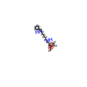 CCO[Si](CCCNCCCCCCNCc1ccccc1)(OCC)OCC